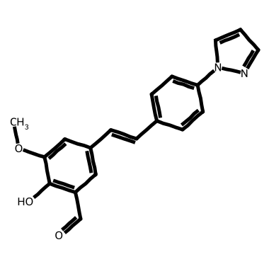 COc1cc(/C=C/c2ccc(-n3cccn3)cc2)cc(C=O)c1O